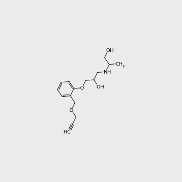 C#CCOCc1ccccc1OCC(O)CNC(C)CO